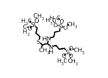 CO[Si](C)(CCCSC(C)C(NCCC[Si](OC)(OC)OC)NCCC[Si](OC)(OC)OC)OC